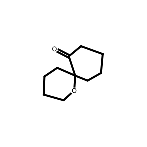 O=C1CCCCC12CCCCO2